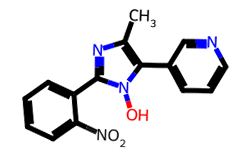 Cc1nc(-c2ccccc2[N+](=O)[O-])n(O)c1-c1cccnc1